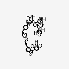 N=C/C(C(=O)Nc1cn(C2CCC(CN3CCC(OCC#Cc4ccc5occ([C@@H]6CCC(=O)NC6=O)c5c4)CC3)CC2)nc1C(F)F)=C1/N=C(N2C[C@H]3C[C@@H]2CO3)C=CN1